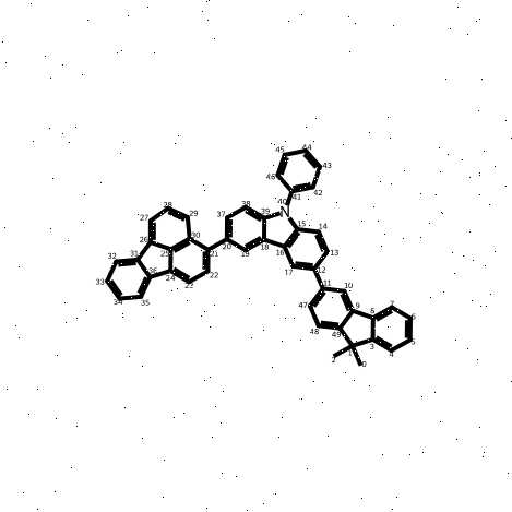 CC1(C)c2ccccc2-c2cc(-c3ccc4c(c3)c3cc(-c5ccc6c7c(cccc57)-c5ccccc5-6)ccc3n4-c3ccccc3)ccc21